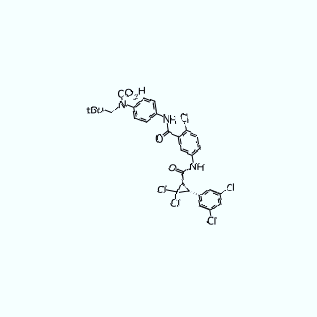 CC(C)(C)CN(C(=O)O)c1ccc(NC(=O)c2cc(NC(=O)[C@H]3[C@H](c4cc(Cl)cc(Cl)c4)C3(Cl)Cl)ccc2Cl)cc1